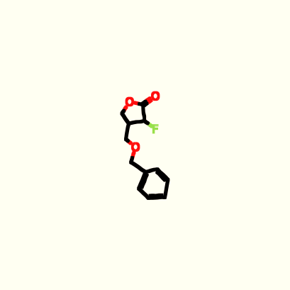 O=C1OCC(COCc2ccccc2)C1F